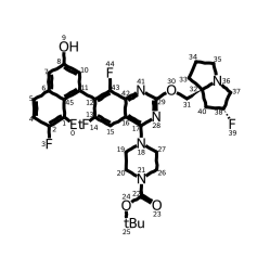 CCc1c(F)ccc2cc(O)cc(-c3c(F)cc4c(N5CCN(C(=O)OC(C)(C)C)CC5)nc(OC[C@@]56CCCN5C[C@H](F)C6)nc4c3F)c12